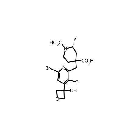 C[C@@H]1CC(Cc2nc(Br)cc(C3(O)COC3)c2F)(C(=O)O)CCN1C(=O)O